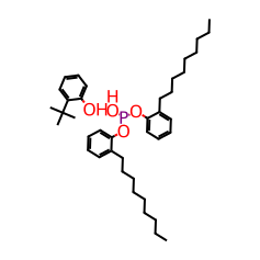 CC(C)(C)c1ccccc1O.CCCCCCCCCc1ccccc1OP(O)Oc1ccccc1CCCCCCCCC